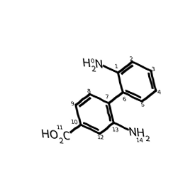 Nc1ccccc1-c1ccc(C(=O)O)cc1N